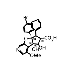 COc1cncc2c1[C@]1(O)[C@H](O)[C@H](C(=O)O)C(c3ccccc3)[C@]1(c1ccc(Br)cc1)O2